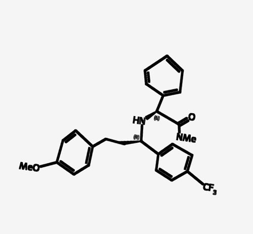 CNC(=O)[C@@H](N[C@H](CCc1ccc(OC)cc1)c1ccc(C(F)(F)F)cc1)c1ccccc1